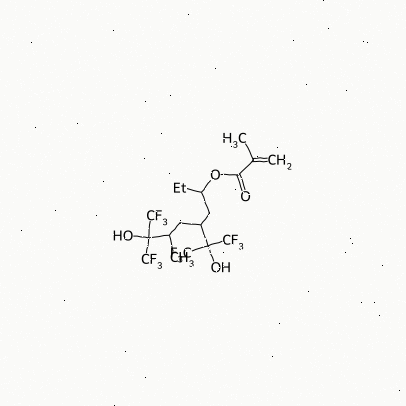 C=C(C)C(=O)OC(CC)CC(CC(C)C(O)(C(F)(F)F)C(F)(F)F)C(O)(C(F)(F)F)C(F)(F)F